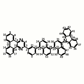 c1cc(-c2cnc3c4ccccc4c4ccccc4c3n2)cc(-c2cccc3c(-c4ccc(-n5c6ccccc6c6ccccc65)c5ccccc45)cccc23)c1